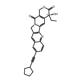 CC[C@@]1(O)C(=O)OCc2c1cc1n(c2=O)Cc2cc3cc(C#CC4CCCC4)ccc3nc2-1